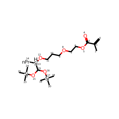 C=C(C)C(=O)OCCOCCCO[SiH](CCC)C(O[Si](C)(C)C)O[Si](C)(C)C